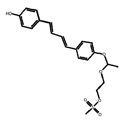 CC(OCCOS(C)(=O)=O)Oc1ccc(C=CC=Cc2ccc(O)cc2)cc1